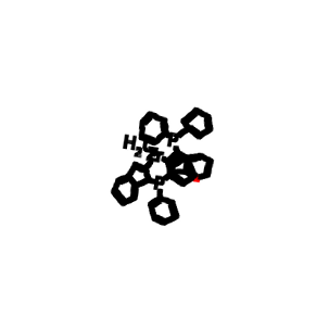 [CH2]=[Zr]([C]1=Cc2ccccc2C1P(c1ccccc1)c1ccccc1)[C]1=Cc2ccccc2C1P(c1ccccc1)c1ccccc1